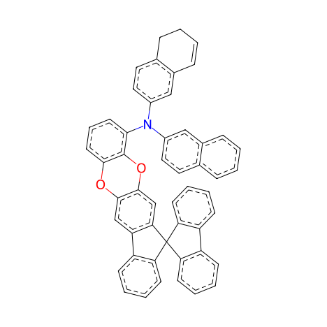 C1=Cc2cc(N(c3ccc4ccccc4c3)c3cccc4c3Oc3cc5c(cc3O4)-c3ccccc3C53c4ccccc4-c4ccccc43)ccc2CC1